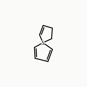 C1=CS2(C=C1)C=CCC2